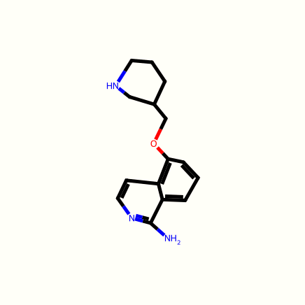 Nc1nccc2c(OCC3CCCNC3)cccc12